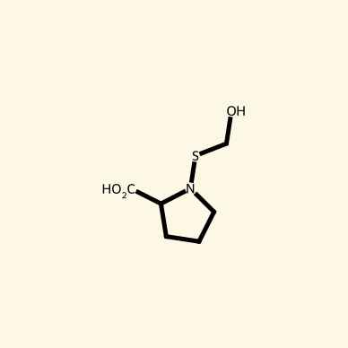 O=C(O)C1CCCN1SCO